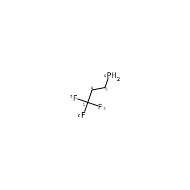 FC(F)(F)CCP